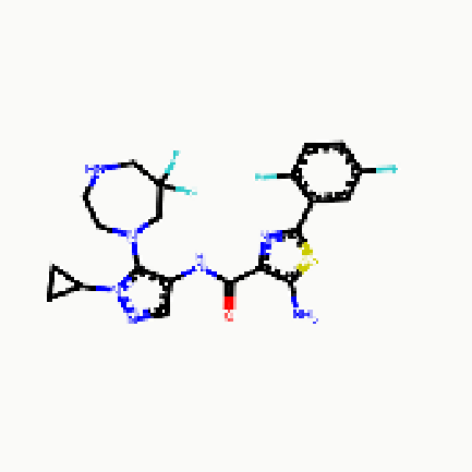 Nc1sc(-c2cc(F)ccc2F)nc1C(=O)Nc1cnn(C2CC2)c1N1CCNCC(F)(F)C1